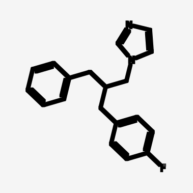 Fc1ccc(CC(Cc2ccccc2)Cn2ccnc2)cc1